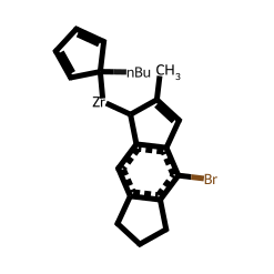 CCCC[C]1([Zr][CH]2C(C)=Cc3c2cc2c(c3Br)CCC2)C=CC=C1